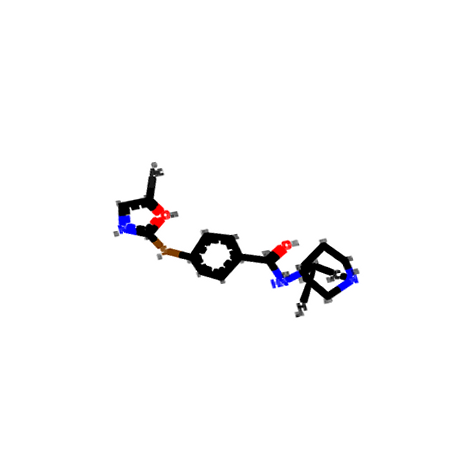 CC(=O)c1cnc(Sc2ccc(C(=O)N[C@H]3CN4CCC3CC4)cc2)o1